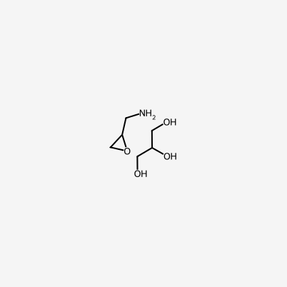 NCC1CO1.OCC(O)CO